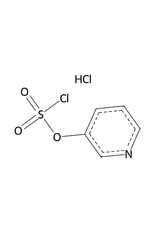 Cl.O=S(=O)(Cl)Oc1cccnc1